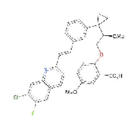 COc1ccc(OC[C@H](OC)C2(c3cccc(/C=C/c4ccc5cc(F)c(Cl)cc5n4)c3)CC2)c(C(=O)O)c1